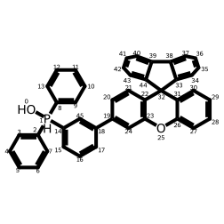 O[PH](c1ccccc1)(c1ccccc1)c1cccc(-c2ccc3c(c2)Oc2ccccc2C32c3ccccc3-c3ccccc32)c1